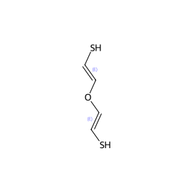 S/C=C/O/C=C/S